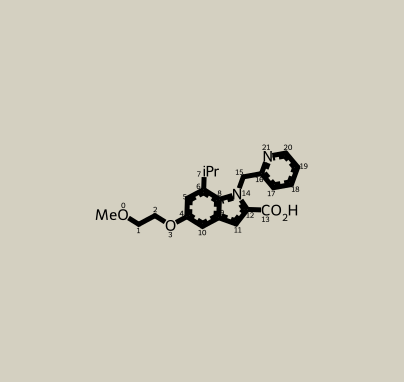 COCCOc1cc(C(C)C)c2c(c1)cc(C(=O)O)n2Cc1ccccn1